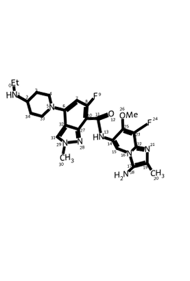 CCNC1CCN(c2cc(F)c(C(=O)Nc3cn4c(N)c(C)nc4c(F)c3OC)c3nn(C)cc23)CC1